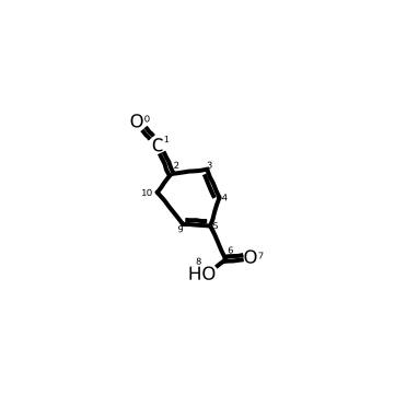 O=C=C1C=CC(C(=O)O)=CC1